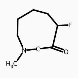 CN1CCCCC(F)C(=O)C1